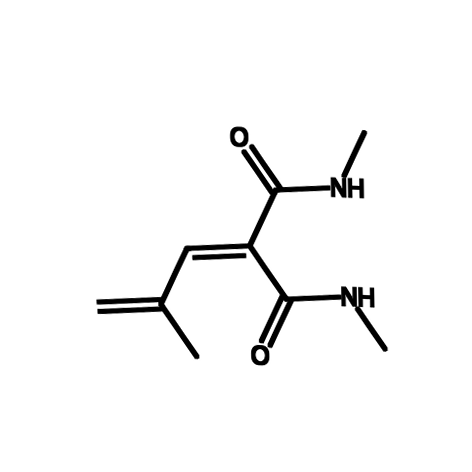 C=C(C)C=C(C(=O)NC)C(=O)NC